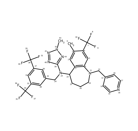 Cc1cc2c(cc1C(F)(F)F)N(Cc1ccncc1)CCCC2N(Cc1cc(C(F)(F)F)cc(C(F)(F)F)c1)c1nnn(C)n1